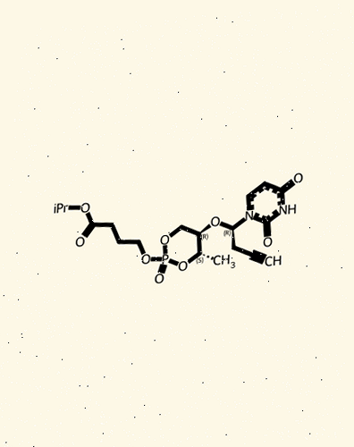 C#CC[C@@H](O[C@@H]1COP(=O)(OCCCC(=O)OC(C)C)O[C@H]1C)n1ccc(=O)[nH]c1=O